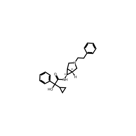 O=C(N[C@H]1C2CN(CCc3ccccc3)C[C@@H]21)C(O)(c1ccccc1)C1CC1